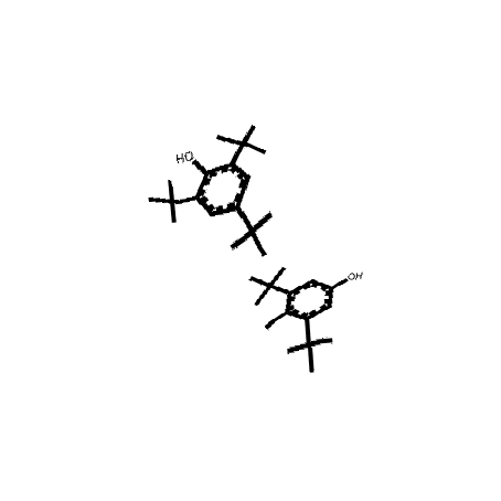 CC(C)(C)c1cc(C(C)(C)C)c(O)c(C(C)(C)C)c1.Cc1c(C(C)(C)C)cc(O)cc1C(C)(C)C